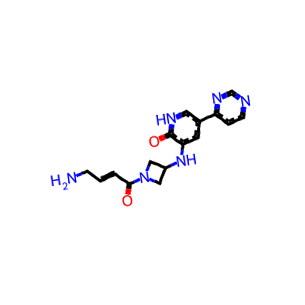 NC/C=C/C(=O)N1CC(Nc2cc(-c3ccncn3)c[nH]c2=O)C1